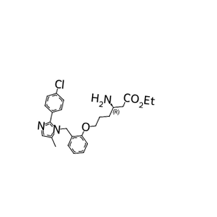 CCOC(=O)C[C@H](N)CCCOc1ccccc1Cn1c(C)cnc1-c1ccc(Cl)cc1